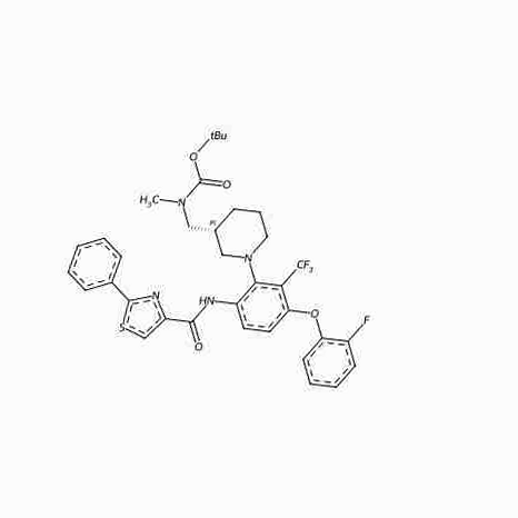 CN(C[C@@H]1CCCN(c2c(NC(=O)c3csc(-c4ccccc4)n3)ccc(Oc3ccccc3F)c2C(F)(F)F)C1)C(=O)OC(C)(C)C